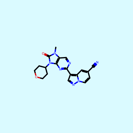 Cn1c(=O)n(C2CCOCC2)c2nc(-c3cnn4ccc(C#N)cc34)ncc21